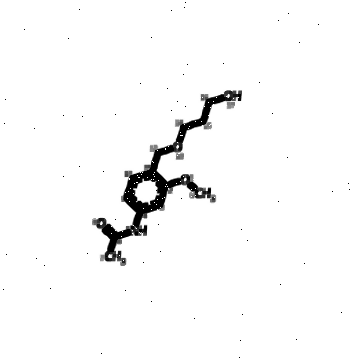 COc1cc(NC(C)=O)ccc1COCCCO